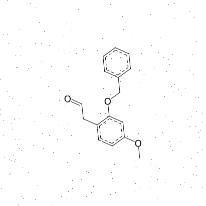 COc1ccc(CC=O)c(OCc2ccccc2)c1